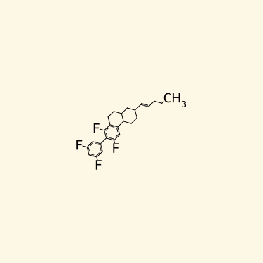 CCCC=CC1CCC2c3cc(F)c(-c4cc(F)cc(F)c4)c(F)c3CCC2C1